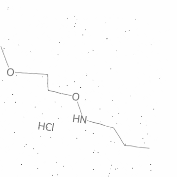 CCCNOCCOC.Cl